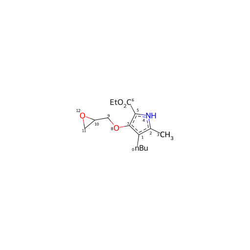 CCCCc1c(C)[nH]c(C(=O)OCC)c1OCC1CO1